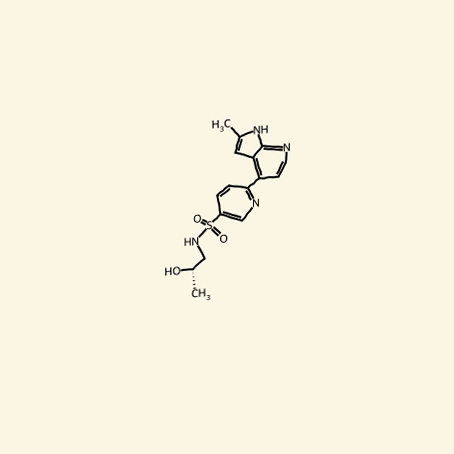 Cc1cc2c(-c3ccc(S(=O)(=O)NC[C@H](C)O)cn3)ccnc2[nH]1